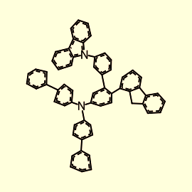 c1ccc(-c2ccc(N(c3ccc(-c4ccccc4)cc3)c3ccc(-c4cccc5c4Cc4ccccc4-5)c(-c4cccc(-n5c6ccccc6c6ccccc65)c4)c3)cc2)cc1